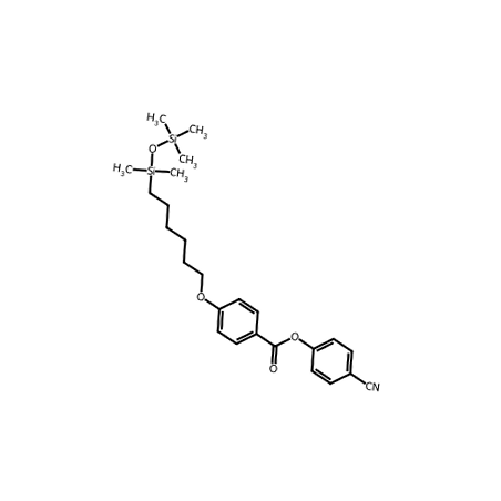 C[Si](C)(C)O[Si](C)(C)CCCCCCOc1ccc(C(=O)Oc2ccc(C#N)cc2)cc1